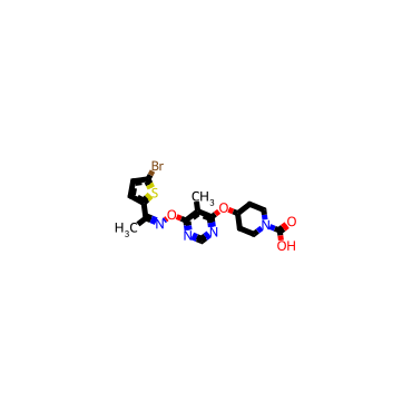 CC(=NOc1ncnc(OC2CCN(C(=O)O)CC2)c1C)c1ccc(Br)s1